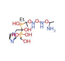 CC[C@@](C)(ONONOC(C)N)[P@@](O)C(O)(Cn1ccnc1)P(O)(O)=CO